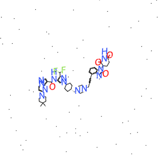 Cn1c(=O)n(C2CCC(=O)NC2=O)c2cccc(C#CCN3CCN(C[C@H]4CC[C@H](n5cc(NC(=O)c6cnn7ccc(N8CCC(C)(C)CC8)nc67)c(C(F)F)n5)CC4)CC3)c21